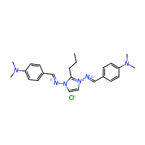 CCCc1n(/N=C/c2ccc(N(C)C)cc2)cc[n+]1/N=C/c1ccc(N(C)C)cc1.[Cl-]